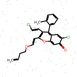 C=CCCO/C=C/c1oc2cc(=O)c(Cl)cc-2c(-c2ccccc2C)c1/C=C/Cl